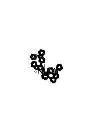 c1ccc(-n2c3ccccc3c3ccc(-c4nc(-n5c6cccc7c6c6c8c9c%10c-7cccc%10ccc9n(-c7ccccc7)c8ccc65)nc5sc6ccccc6c45)cc32)cc1